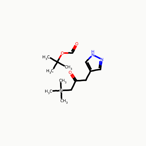 CC(C)(C)OC=O.C[Si](C)(C)CC(=O)Cc1cn[nH]c1